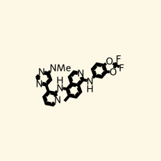 CNc1cc(-c2cccnc2Nc2c(C)ccc3c(Nc4ccc5c(c4)OC(F)(F)O5)nccc23)ncn1